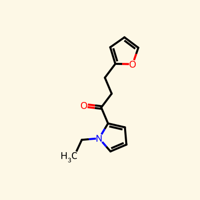 CCn1cccc1C(=O)CCc1ccco1